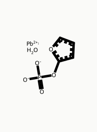 O.O=P([O-])([O-])Oc1ccco1.[Pb+2]